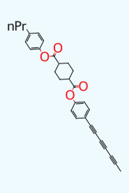 CC#CC#CC#Cc1ccc(OC(=O)C2CCC(C(=O)Oc3ccc(CCC)cc3)CC2)cc1